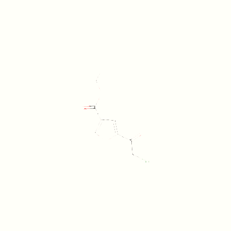 CCOC(=O)c1coc(C(=O)CBr)c1